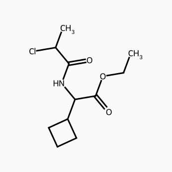 CCOC(=O)C(NC(=O)C(C)Cl)C1CCC1